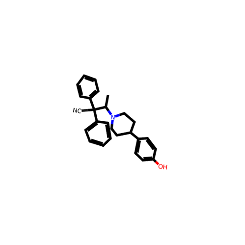 CC(N1CCC(c2ccc(O)cc2)CC1)C(C#N)(c1ccccc1)c1ccccc1